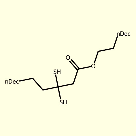 CCCCCCCCCCCCOC(=O)CC(S)(S)CCCCCCCCCCCC